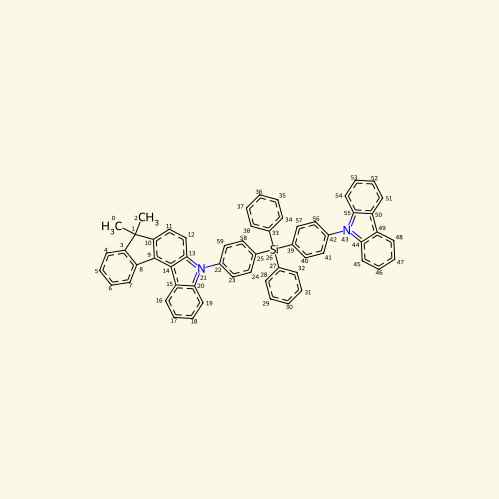 CC1(C)c2ccccc2-c2c1ccc1c2c2ccccc2n1-c1ccc([Si](c2ccccc2)(c2ccccc2)c2ccc(-n3c4ccccc4c4ccccc43)cc2)cc1